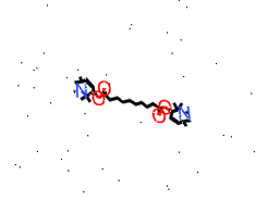 CN1C(C)(C)C=CC(OC(=O)CCCCCCCCC(=O)OC2C=CC(C)(C)N(C)C2(C)C)C1(C)C